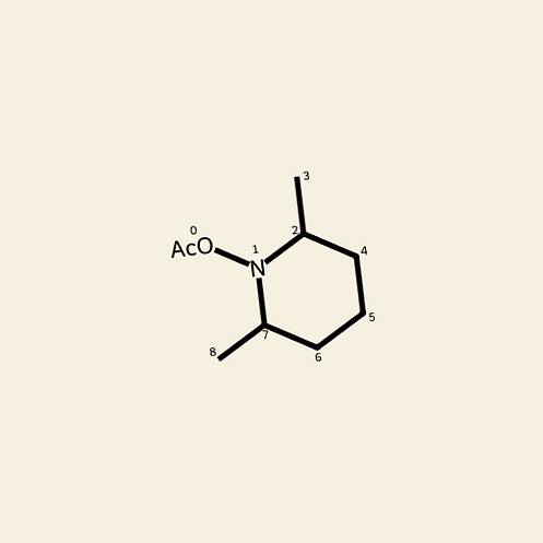 CC(=O)ON1C(C)CCCC1C